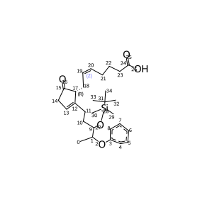 CC(Oc1ccccc1)C(CCC1=CCC(=O)[C@@H]1C/C=C\CCCC(=O)O)O[Si](C)(C)C(C)(C)C